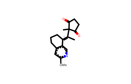 COc1cc2c(cn1)/C(=C(\C)C1(C)C(=O)CCC1=O)CCC2